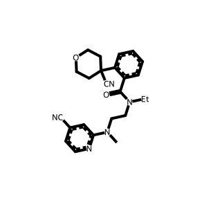 CCN(CCN(C)c1cc(C#N)ccn1)C(=O)c1ccccc1C1(C#N)CCOCC1